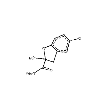 COC(=O)C1(O)Cc2cc(Cl)ccc2O1